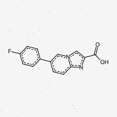 O=C(O)c1cn2cc(-c3ccc(F)cc3)ccc2n1